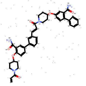 C=CC(=O)N1CCC(Oc2ccc(-c3cccc(/C=C/C(=O)N4CCC(Oc5ccc(-c6ccccc6)c(C(N)=O)c5)CC4)c3)cc2C(N)=O)CC1